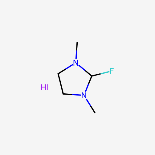 CN1CCN(C)C1F.I